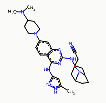 Cc1cc(Nc2nc(NC3CC4CCC(C3)N4CCC#N)nc3cc(N4CCC(N(C)C)CC4)ccc23)n[nH]1